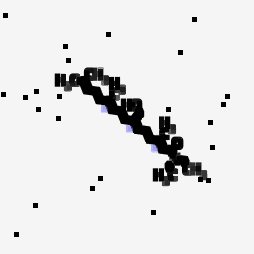 CCN(CC)C(=O)/C=C(\C)CC/C=C(\CO)CC/C=C(\C)CCC=C(C)C